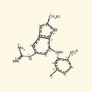 CCOC(=O)c1cc2cc(NC(=N)N)cc(OC)c2[nH]1.Cc1ccc(S(=O)(=O)O)cc1